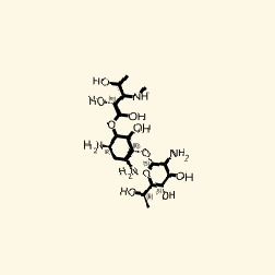 CNC(C(C)O)[C@@H](O)C(O)OC1C(O)[C@H](O[C@H]2OC([C@@H](C)O)[C@@H](O)C(O)C2N)C(N)C[C@H]1N